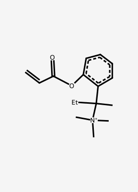 C=CC(=O)Oc1ccccc1C(C)(CC)[N+](C)(C)C